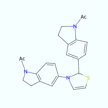 CC(=O)N1CCc2cc([C]3SC=CN3c3ccc4c(c3)CCN4C(C)=O)ccc21